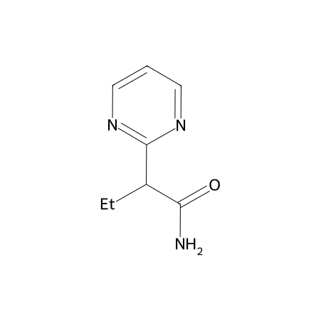 CCC(C(N)=O)c1ncccn1